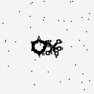 [Cl][Ir]([Cl])([Cl])([Cl])[Cl].c1ccncc1